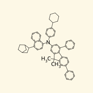 CC1(C)c2cc(-c3ccccc3)ccc2-c2c(-c3ccccc3)cc(N(c3ccc(C4CCCCC4)cc3)c3ccc(C4CC5CCC4C5)c4ccccc34)cc21